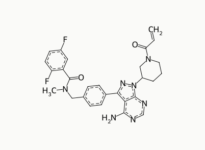 C=CC(=O)N1CCCC(n2nc(-c3ccc(CN(C)C(=O)c4cc(F)ccc4F)cc3)c3c(N)ncnc32)C1